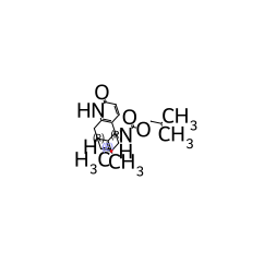 C/C=C1\[C@H]2C=C(C)C[C@]1(NC(=O)OCC(C)C)c1ccc(=O)[nH]c1C2